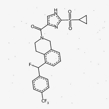 O=C(c1c[nH]c(S(=O)(=O)C2CC2)n1)N1CCc2c(cccc2C(F)c2ccc(C(F)(F)F)cc2)C1